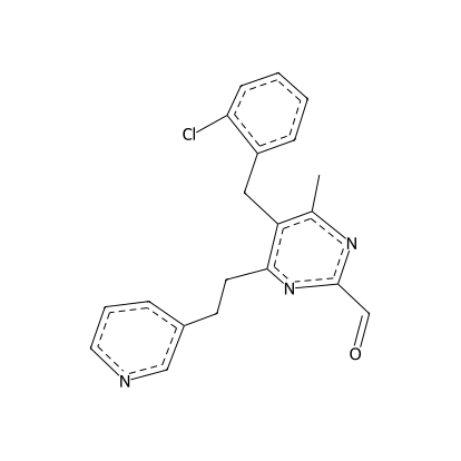 Cc1nc(C=O)nc(CCc2cccnc2)c1Cc1ccccc1Cl